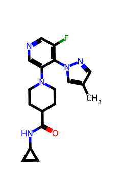 Cc1cnn(-c2c(F)cncc2N2CCC(C(=O)NC3CC3)CC2)c1